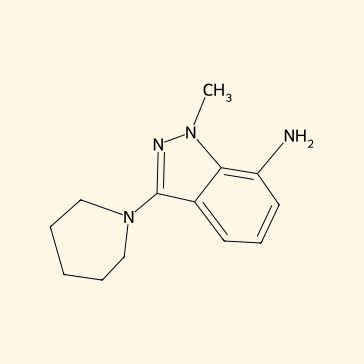 Cn1nc(N2CCCCC2)c2cccc(N)c21